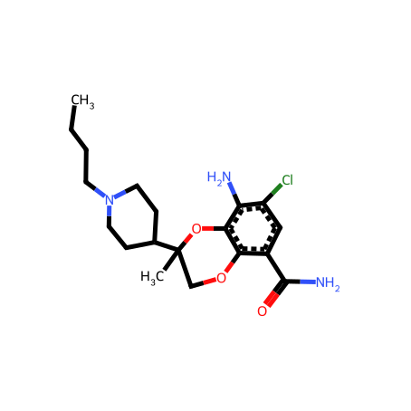 CCCCN1CCC(C2(C)COc3c(C(N)=O)cc(Cl)c(N)c3O2)CC1